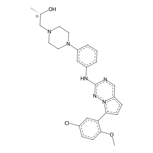 COc1ccc(Cl)cc1-c1ccc2cnc(Nc3cccc(N4CCN(C[C@H](C)O)CC4)c3)nn12